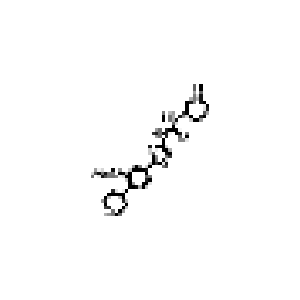 COc1cc(-c2nc(NC(=O)NC3CCCNC3)cs2)ccc1C1=CCOCC1